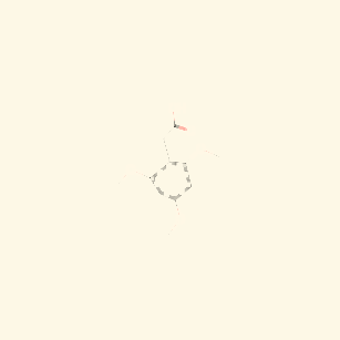 COc1cc(OC)c(CC(=O)O)c(OC)c1